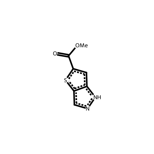 COC(=O)c1cc2[nH]ncc2s1